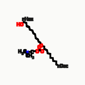 CCCCCCCCCCCCCCCCCCC(COCCCCCCCCC=CC[C@H](O)CCCCCC)OC(=O)OCCCN(C)C